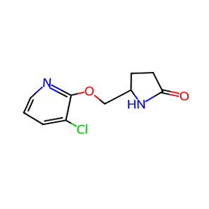 O=C1CCC(COc2ncccc2Cl)N1